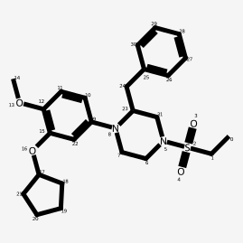 CCS(=O)(=O)N1CCN(c2ccc(OC)c(OC3CCCC3)c2)C(Cc2ccccc2)C1